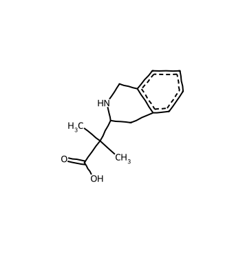 CC(C)(C(=O)O)C1Cc2ccccc2CN1